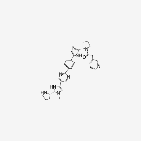 CN1C=C(c2cnc(-c3ccc(-c4cnc([C@@H]5CCCN5C(=O)Cc5cccnc5)[nH]4)cc3)nc2)NC1[C@@H]1CCCN1